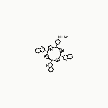 CC(=O)Nc1ccc(-c2c3nc(c(-c4cnc5ccccc5c4)c4ccc([nH]4)c(-c4cnc5ccccc5c4)c4nc(c(-c5cnc6ccccc6c5)c5ccc2[nH]5)C=C4)C=C3)cc1